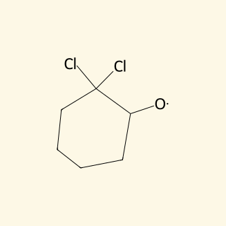 [O]C1CCCCC1(Cl)Cl